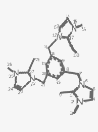 CC1N(C)C=CN1Cc1cc(CN2C=CN(C)C2C)cc(CN2C=CN(C)C2C)c1